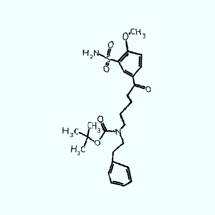 COc1ccc(C(=O)CCCCN(CCc2ccccc2)C(=O)OC(C)(C)C)cc1S(N)(=O)=O